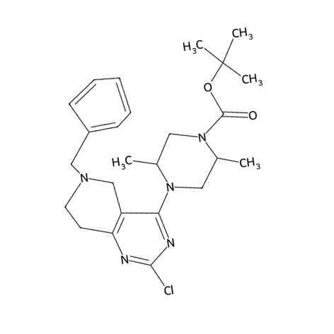 CC1CN(c2nc(Cl)nc3c2CN(Cc2ccccc2)CC3)C(C)CN1C(=O)OC(C)(C)C